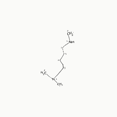 [CH2]NCCCCN(C)C